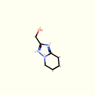 OCc1nc2n(n1)CCCC2